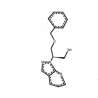 SC[C@H](COCc1ccccc1)n1ncc2cccnc21